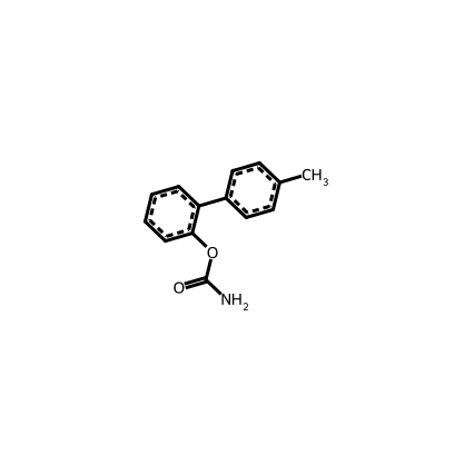 Cc1ccc(-c2ccccc2OC(N)=O)cc1